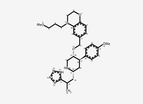 COCCCN1CCOc2ccc(CO[C@H]3CN[C@@H](CC(C)c4nnn[nH]4)C[C@@H]3c3ccc(OC)cc3)cc21